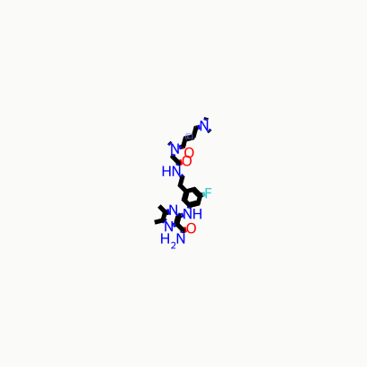 Cc1nc(Nc2cc(F)cc(CCNC(=O)CN(C)C(=O)/C=C/CN(C)C)c2)c(C(N)=O)nc1C